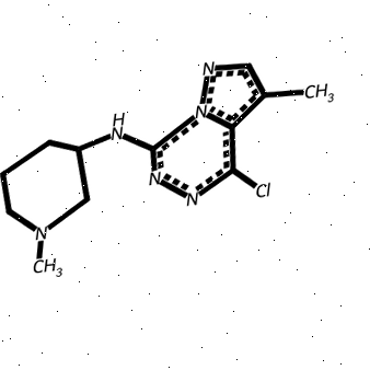 Cc1cnn2c(NC3CCCN(C)C3)nnc(Cl)c12